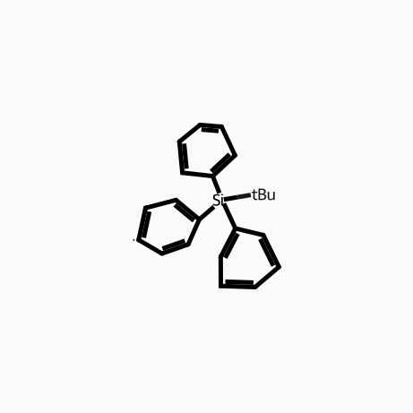 CC(C)(C)[Si](c1cc[c]cc1)(c1ccccc1)c1ccccc1